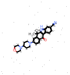 CC1(C)c2cc(N3CCC(N4CCOCC4)CC3)ccc2C(=O)c2c1[nH]c1cc(C#N)ccc21